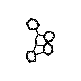 C(=C1c2ccccc2-c2ccccc21)C(c1ccccc1)c1ccccc1